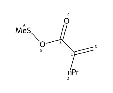 C=C(CCC)C(=O)OSC